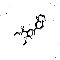 CCOC(=O)C(=CNc1ccc2nccnc2c1)C(=O)OCC